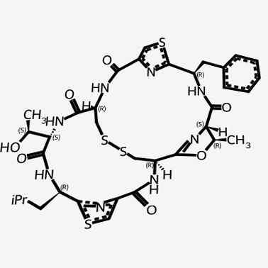 CC(C)C[C@H]1NC(=O)[C@H]([C@H](C)O)NC(=O)[C@@H]2CSSC[C@H](NC(=O)c3csc1n3)C1=N[C@H](C(=O)N[C@H](Cc3ccccc3)c3nc(cs3)C(=O)N2)[C@@H](C)O1